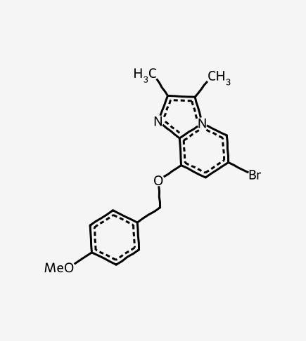 COc1ccc(COc2cc(Br)cn3c(C)c(C)nc23)cc1